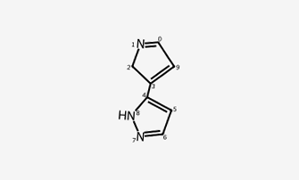 C1=NCC(c2ccn[nH]2)=C1